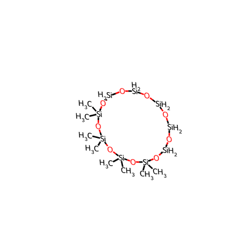 C[Si]1(C)O[SiH2]O[SiH2]O[SiH2]O[SiH2]O[SiH2]O[Si](C)(C)O[Si](C)(C)O[Si](C)(C)O1